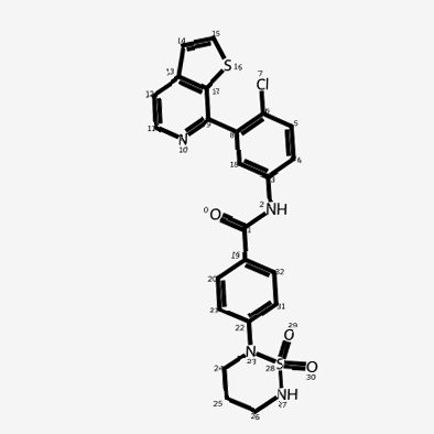 O=C(Nc1ccc(Cl)c(-c2nccc3ccsc23)c1)c1ccc(N2CCCNS2(=O)=O)cc1